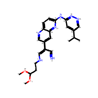 COC(CCN/C=C(\C=N)c1cnc2ccc(Nc3cc(C(C)C)cnn3)nc2c1)OC